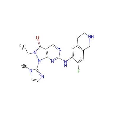 CC(C)(C)n1ccnc1-n1c2nc(Nc3cc4c(cc3F)CNCC4)ncc2c(=O)n1CC(F)(F)F